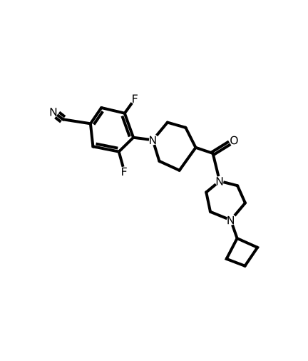 N#Cc1cc(F)c(N2CCC(C(=O)N3CCN(C4CCC4)CC3)CC2)c(F)c1